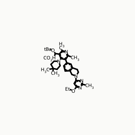 CCOc1cc(N2CCc3cc(-c4c(C)nc(C)c(C(OC(C)(C)C)C(=O)O)c4N4CCC(C)(C)CC4)ccc3C2)nc(C)n1